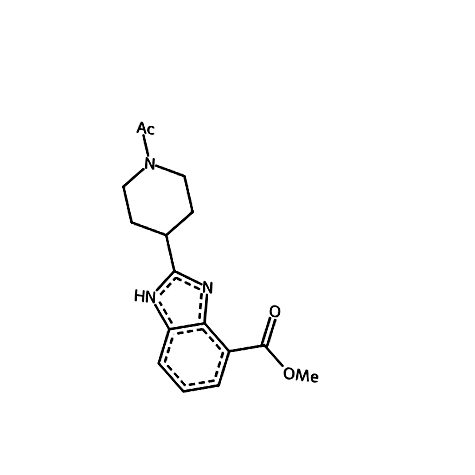 COC(=O)c1cccc2[nH]c(C3CCN(C(C)=O)CC3)nc12